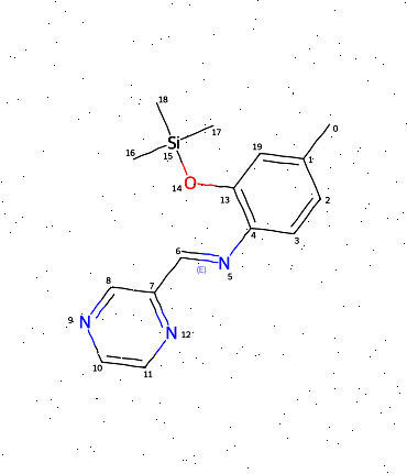 Cc1ccc(/N=C/c2cnccn2)c(O[Si](C)(C)C)c1